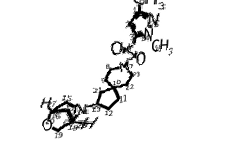 Cc1cc(S(=O)(=O)N2CCC3(CC[C@@H](N4C[C@@H]5C[C@H]4CO5)C3)CC2)n(C)n1